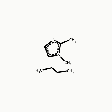 CCCC.Cc1nccn1C